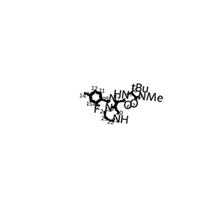 CNC(=O)C(NC(=O)c1nc(-c2ccc(C)cc2F)n2c1CNCCC2)C(C)(C)C